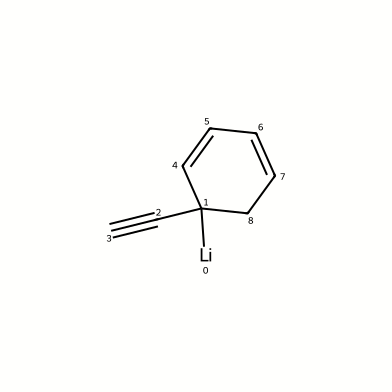 [Li][C]1(C#C)C=CC=CC1